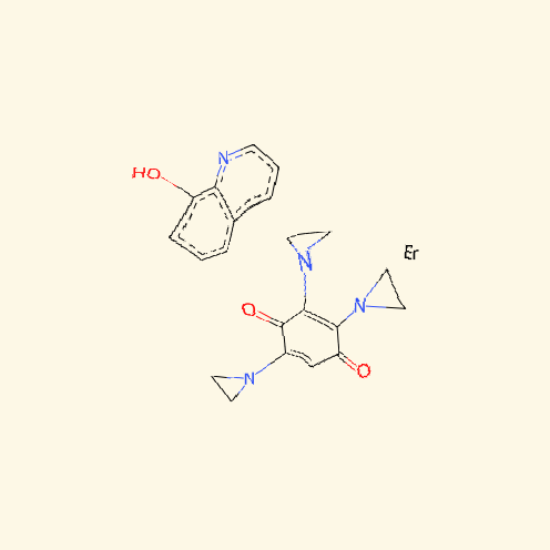 O=C1C=C(N2CC2)C(=O)C(N2CC2)=C1N1CC1.Oc1cccc2cccnc12.[Er]